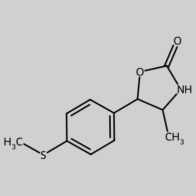 CSc1ccc(C2OC(=O)NC2C)cc1